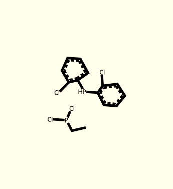 CCP(Cl)Cl.Clc1ccccc1Pc1ccccc1Cl